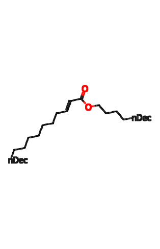 CCCCCCCCCCCCCCCCCC=CC(=O)OCCCCCCCCCCCCCC